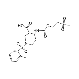 Cc1ccccc1S(=O)(=O)N1CCC(NC(=O)OCCS(C)(=O)=O)C(C(=O)O)C1